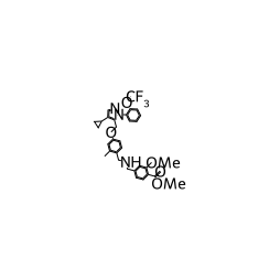 COC(=O)c1ccc(CNCc2ccc(OCc3c(C4CC4)cnn3-c3ccccc3OC(F)(F)F)cc2C)cc1OC